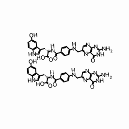 Nc1nc2ncc(CNc3ccc(C(=O)N[C@@H](Cc4c[nH]c5ccc(O)cc45)C(=O)O)cc3)nc2c(=O)[nH]1.Nc1nc2ncc(CNc3ccc(C(=O)N[C@@H](Cc4c[nH]c5ccc(O)cc45)C(=O)O)cc3)nc2c(=O)[nH]1